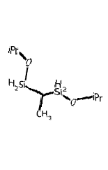 CC(C)O[SiH2]C(C)[SiH2]OC(C)C